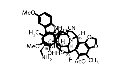 COc1ccc2[nH]c3c(c2c1)C[C@H](CN)N[C@]31CS[C@@H]2c3c(OC(C)=O)c(C)c4c(c3[C@H](COC1=O)N1[C@@H]2[C@@H]2c3c(cc(C)c(OC)c3O)CC1(C#N)CN2C)OCO4